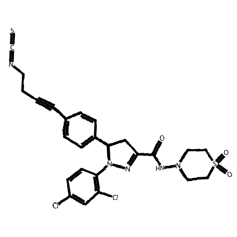 O=C(NN1CCS(=O)(=O)CC1)C1=NN(c2ccc(Cl)cc2Cl)C(c2ccc(C#CCCN=C=S)cc2)C1